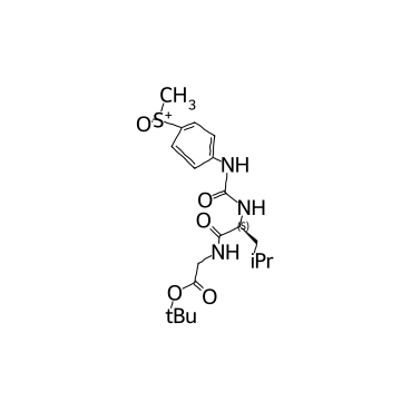 CC(C)C[C@H](NC(=O)Nc1ccc([S+](C)[O-])cc1)C(=O)NCC(=O)OC(C)(C)C